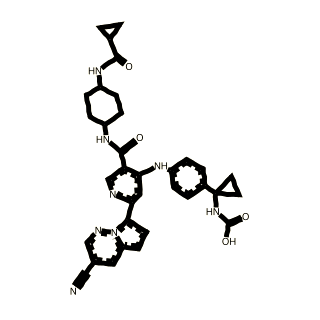 N#Cc1cnn2c(-c3cc(Nc4ccc(C5(NC(=O)O)CC5)cc4)c(C(=O)NC4CCC(NC(=O)C5CC5)CC4)cn3)ccc2c1